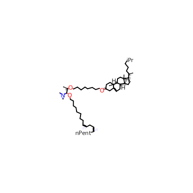 CCCCC/C=C\C/C=C\CCCCCCCCOC([C@@H](C)OCCCCCCCCO[C@H]1CC[C@@]2(C)C(=CC[C@H]3[C@@H]4CC[C@H]([C@H](C)CCCC(C)C)[C@@]4(C)CC[C@@H]32)C1)N(C)C